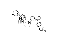 O=C(c1ccc(C(F)(F)F)cc1)N1CCCC(N2CCCCC(Nc3nccc(N4CCCCCC4)n3)C2)C1